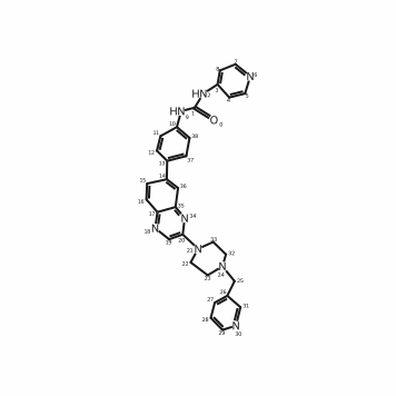 O=C(Nc1ccncc1)Nc1ccc(-c2ccc3ncc(N4CCN(Cc5cccnc5)CC4)nc3c2)cc1